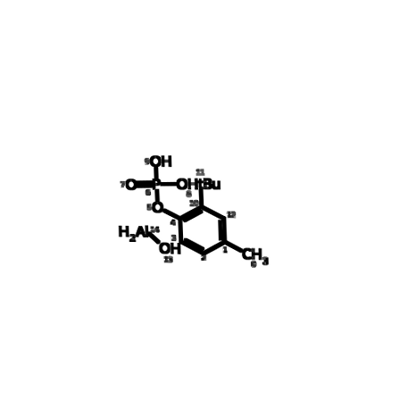 Cc1ccc(OP(=O)(O)O)c(C(C)(C)C)c1.[OH][AlH2]